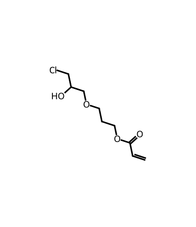 C=CC(=O)OCCCOCC(O)CCl